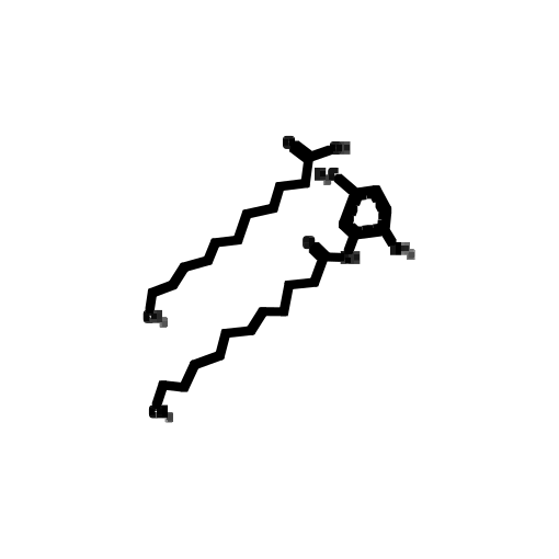 CCCCCCCCCCCC(=O)Nc1cc(C)ccc1N.CCCCCCCCCCCC(=O)O